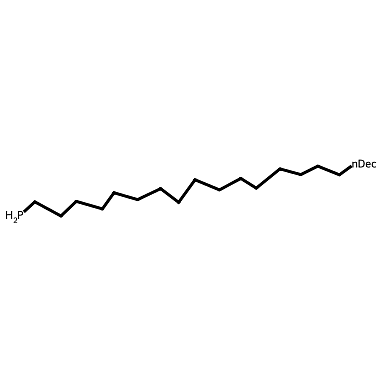 CCCCCCCCCCCCCCCCCCCCCCCCCCP